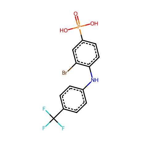 O=P(O)(O)c1ccc(Nc2ccc(C(F)(F)F)cc2)c(Br)c1